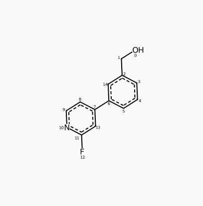 OCc1cccc(-c2ccnc(F)c2)c1